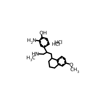 CNCC(CC1CCCc2cc(OC)ccc21)c1ccc(O)c(N)c1.Cl.Cl